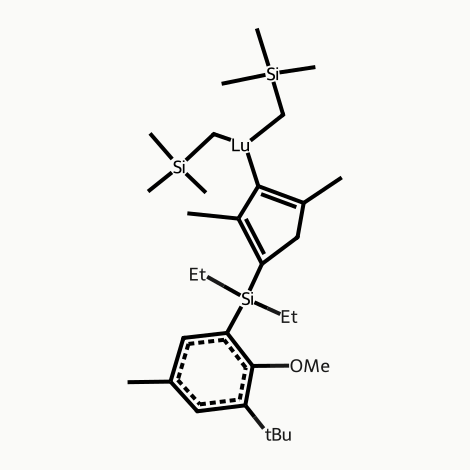 CC[Si](CC)(C1=C(C)[C]([Lu]([CH2][Si](C)(C)C)[CH2][Si](C)(C)C)=C(C)C1)c1cc(C)cc(C(C)(C)C)c1OC